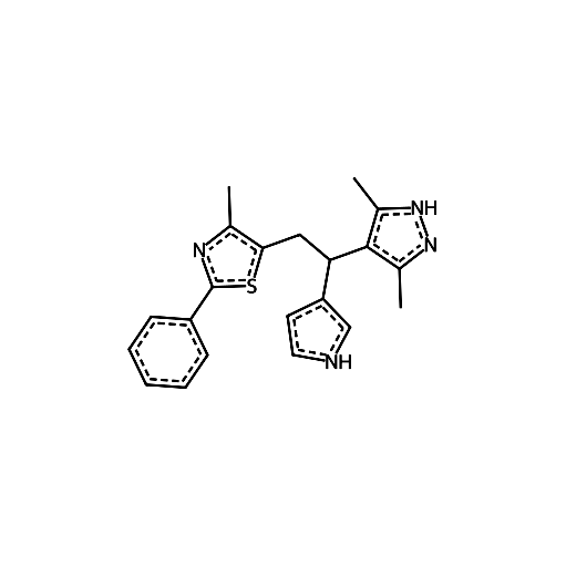 Cc1nc(-c2ccccc2)sc1CC(c1cc[nH]c1)c1c(C)n[nH]c1C